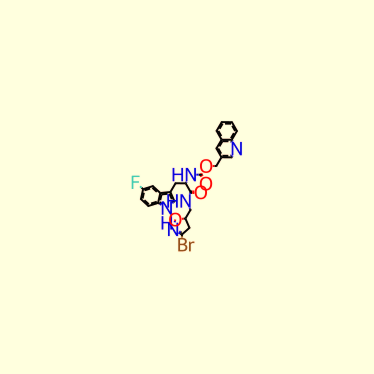 O=C(NC(Cc1c[nH]c2ccc(F)cc12)C(=O)NCC1CC(Br)=NO1)OCc1cnc2ccccc2c1